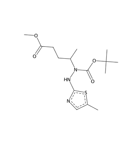 COC(=O)CCC(C)N(Nc1ncc(C)s1)C(=O)OC(C)(C)C